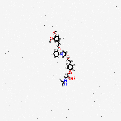 COc1ccc(CCO[C@@H]2CCCC[C@H]2N2CC[C@H](OCCc3ccc(OCC(O)CNC(C)C)cc3)C2)cc1OC